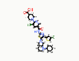 O=C(Nc1nc(-c2cc(Cl)cs2)c(N2CC3CCCN(C4CCCCC4)C3C2)s1)c1cnc(N2CCC(C(=O)O)CC2)c(Cl)c1